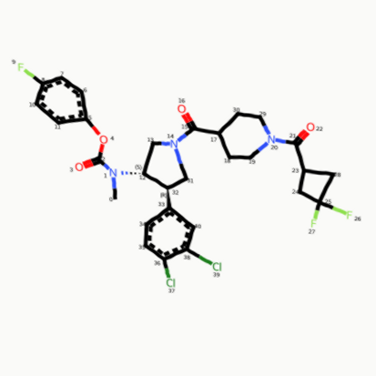 CN(C(=O)Oc1ccc(F)cc1)[C@@H]1CN(C(=O)C2CCN(C(=O)C3CC(F)(F)C3)CC2)C[C@H]1c1ccc(Cl)c(Cl)c1